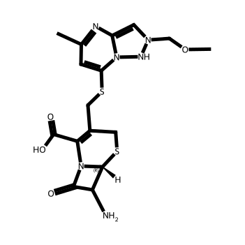 COCN1C=C2N=C(C)C=C(SCC3=C(C(=O)O)N4C(=O)C(N)[C@H]4SC3)N2N1